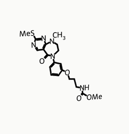 COC(=O)NCCCOc1cccc(N2CCN(C)c3nc(SC)ncc3C2=O)c1